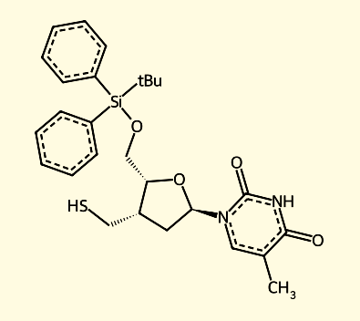 Cc1cn([C@H]2C[C@H](CS)[C@H](CO[Si](c3ccccc3)(c3ccccc3)C(C)(C)C)O2)c(=O)[nH]c1=O